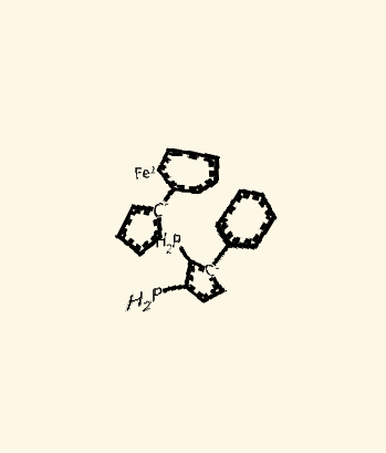 Pc1cc[c-](-c2ccccc2)c1P.[Fe+2].c1ccc(-[c-]2cccc2)cc1